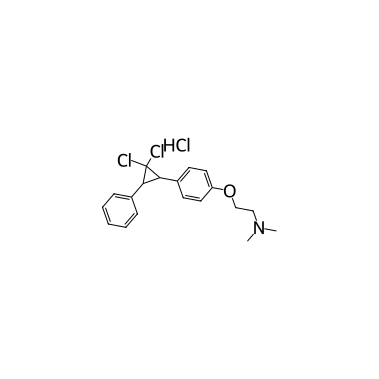 CN(C)CCOc1ccc(C2C(c3ccccc3)C2(Cl)Cl)cc1.Cl